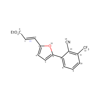 CCOC(=O)/C=C/c1ccc(-c2cccc(C(F)(F)F)c2C#N)o1